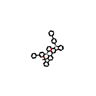 CC1(C)c2ccccc2-c2ccc(-c3ccc4c(c3)c3ccccc3n4-c3ccc(-c4ccccc4)cc3)c(N(c3ccccc3)c3ccc(-c4ccccc4)cc3)c21